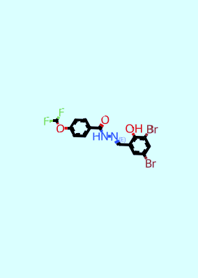 O=C(N/N=C/c1cc(Br)cc(Br)c1O)c1ccc(OC(F)F)cc1